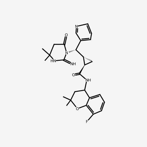 CC1(C)CC(=O)N([C@H](c2cccnc2)[C@@H]2C[C@H]2C(=O)NC2CC(C)(C)Oc3c(F)cccc32)C(=N)N1